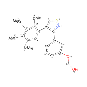 COc1cc(-c2csnc2-c2cccc(OCO)c2)c(OC)c(OC)c1OC